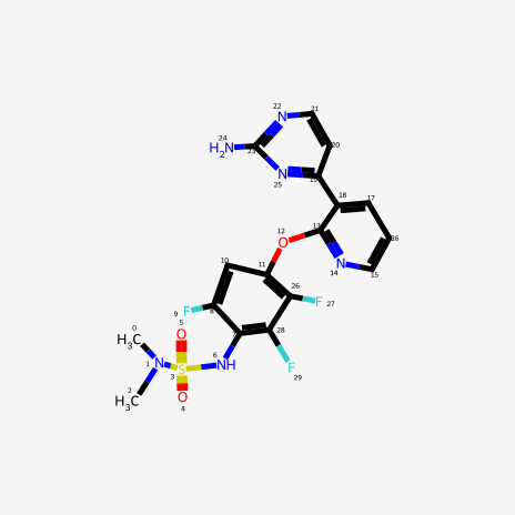 CN(C)S(=O)(=O)Nc1c(F)cc(Oc2ncccc2-c2ccnc(N)n2)c(F)c1F